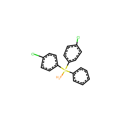 PS(c1ccccc1)(c1ccc(Cl)cc1)c1ccc(Cl)cc1